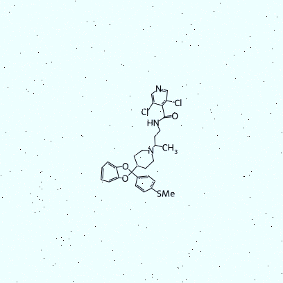 CSc1ccc(C2(C3CCN(C(C)CCNC(=O)c4c(Cl)cncc4Cl)CC3)Oc3ccccc3O2)cc1